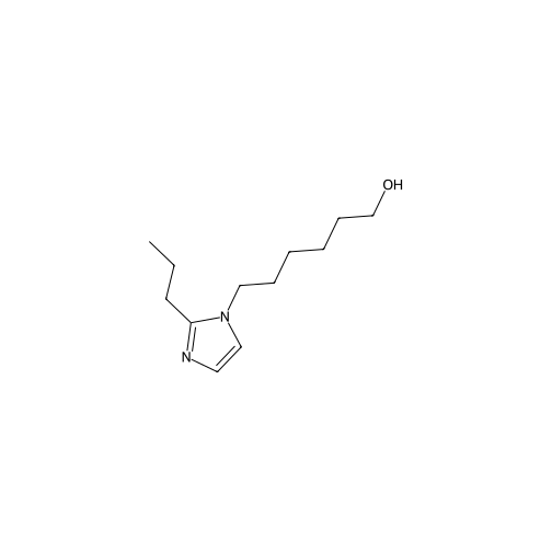 CCCc1nccn1CCCCCCO